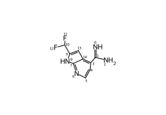 N=C(N)c1ccnc2[nH]c(C(F)F)cc12